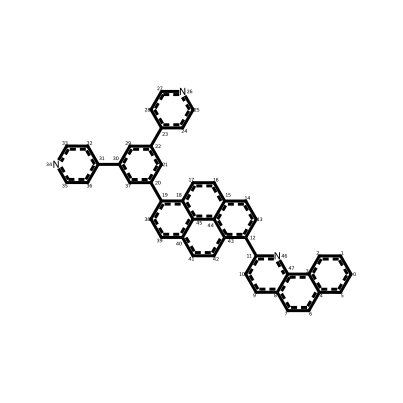 c1ccc2c(c1)ccc1ccc(-c3ccc4ccc5c(-c6cc(-c7ccncc7)cc(-c7ccncc7)c6)ccc6ccc3c4c65)nc12